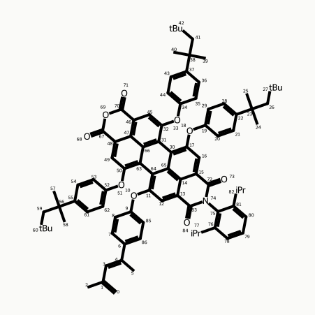 C=C(C)/C=C(\C)c1ccc(Oc2cc3c4c(cc(Oc5ccc(C(C)(C)CC(C)(C)C)cc5)c5c6c(Oc7ccc(C(C)(C)CC(C)(C)C)cc7)cc7c8c(cc(Oc9ccc(C(C)(C)CC(C)(C)C)cc9)c(c2c45)c86)C(=O)OC7=O)C(=O)N(c2c(C(C)C)cccc2C(C)C)C3=O)cc1